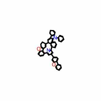 C1=Cc2c(c3c(n2-c2ccccc2)=CCC(C2=Cc4c(oc5cccc(-c6cc(-c7ccc8c(c7)oc7ccccc78)cc(-c7ccccc7)n6)c45)CC2)C=3)CC1